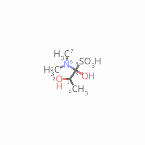 CC(O)C(O)(N(C)C)S(=O)(=O)O